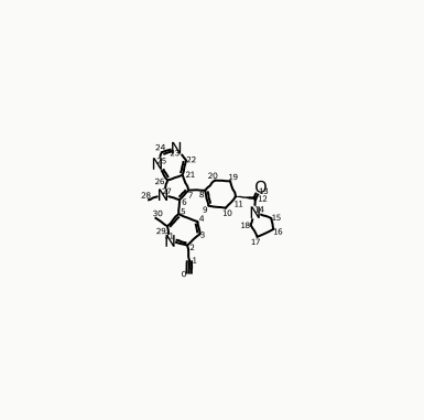 C#Cc1ccc(-c2c(C3=CC[C@H](C(=O)N4CCCC4)CC3)c3cncnc3n2C)c(C)n1